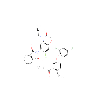 C#CCN1C(=O)COc2cc(F)c(N3C(=O)C4=C(CCCC4)C3=O)cc21.COC(=O)c1cc(Oc2ccc(Cl)cc2Cl)ccc1[N+](=O)[O-]